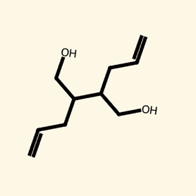 C=CCC(CO)C(CO)CC=C